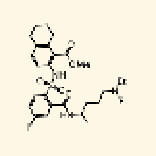 CCN(CC)CCCC(C)NC(=O)c1cc(F)ccc1S(=O)(=O)Nc1ccc2c(c1C(=O)OC)CCCC2